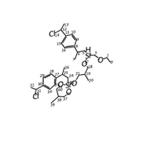 CCOC[SiH](CC(C)c1ccc(C(C)Cl)cc1)OCC(C)CO[Si]1(CC(C)c2ccc(C(C)Cl)cc2)OCC(C)CO1